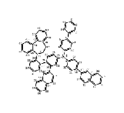 c1ccc(-c2ccc(N(c3ccc(-c4ccc5ccccc5c4)cc3)c3ccc(-c4ccccc4C4CCc5ccccc5-c5ccccc54)c(-c4ccc5ccccc5c4)c3)cc2)cc1